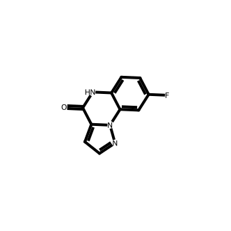 O=c1[nH]c2ccc(F)cc2n2nccc12